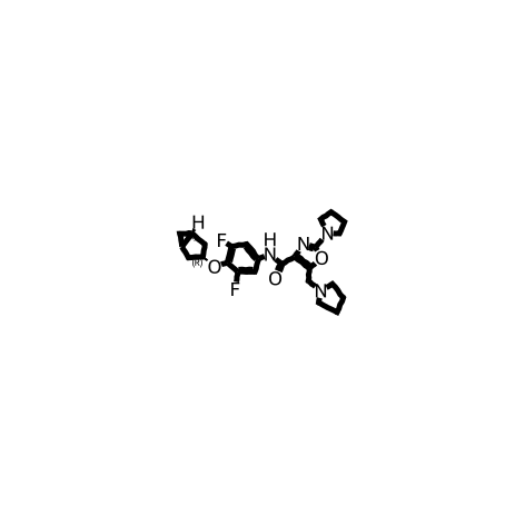 O=C(Nc1cc(F)c(O[C@@H]2CC3C[C@@H]3C2)c(F)c1)c1nc(N2CCCC2)oc1CN1CCCC1